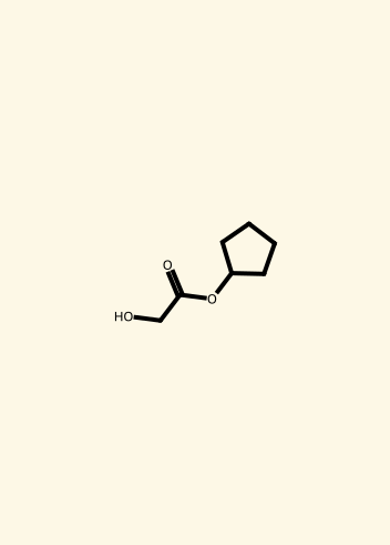 O=C(CO)OC1CCCC1